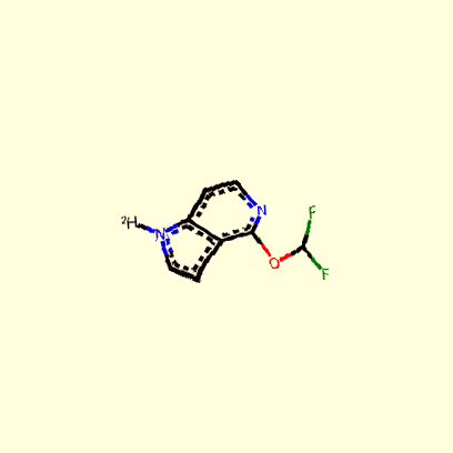 [2H]n1ccc2c(OC(F)F)nccc21